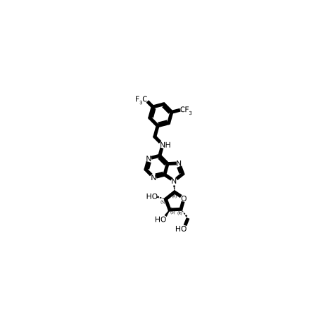 OC[C@H]1O[C@@H](n2cnc3c(NCc4cc(C(F)(F)F)cc(C(F)(F)F)c4)ncnc32)[C@@H](O)[C@@H]1O